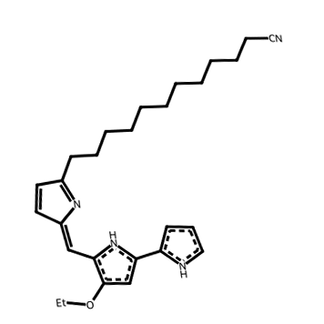 CCOc1cc(-c2ccc[nH]2)[nH]c1C=C1C=CC(CCCCCCCCCCCC#N)=N1